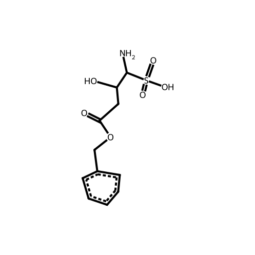 NC(C(O)CC(=O)OCc1ccccc1)S(=O)(=O)O